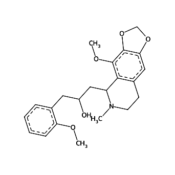 COc1ccccc1CC(O)CC1c2c(cc3c(c2OC)OCO3)CCN1C